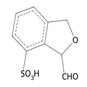 O=CC1OCc2cccc(S(=O)(=O)O)c21